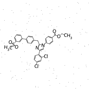 CCOC(=O)c1ccc(-n2cc(-c3ccc(Cl)cc3Cl)nc2Cc2ccc(-c3cccc(S(C)(=O)=O)c3)cc2)cc1